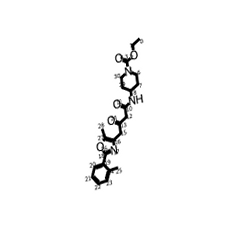 CCOC(=O)N1CCC(NC(=O)CC(=O)Cc2nc(-c3ccccc3C)oc2C)CC1